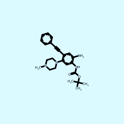 CN1CCN(c2cc(NC(=O)OC(C)(C)C)c(N)cc2C#Cc2ccccc2)CC1